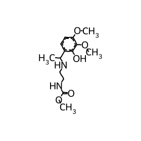 COC(=O)NCCNC(C)c1ccc(OC)c(OC)c1O